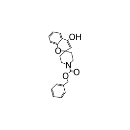 O=C(OCc1ccccc1)N1CCC2(C=C(O)c3ccccc3O2)CC1